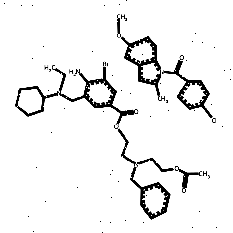 CCN(Cc1cc(C(=O)OCCN(CCOC(C)=O)Cc2ccccc2)cc(Br)c1N)C1CCCCC1.COc1ccc2c(c1)cc(C)n2C(=O)c1ccc(Cl)cc1